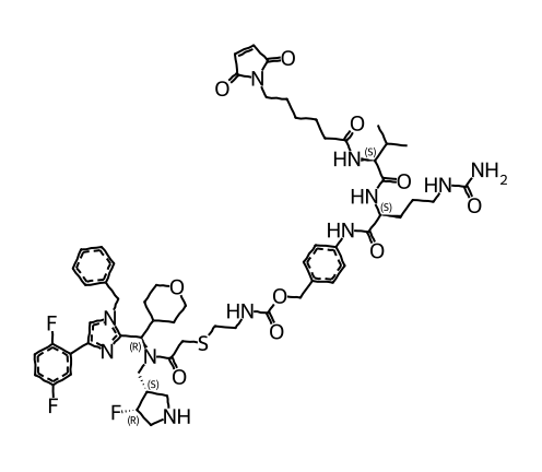 CC(C)[C@H](NC(=O)CCCCCN1C(=O)C=CC1=O)C(=O)N[C@@H](CCCNC(N)=O)C(=O)Nc1ccc(COC(=O)NCCSCC(=O)N(C[C@@H]2CNC[C@@H]2F)[C@@H](c2nc(-c3cc(F)ccc3F)cn2Cc2ccccc2)C2CCOCC2)cc1